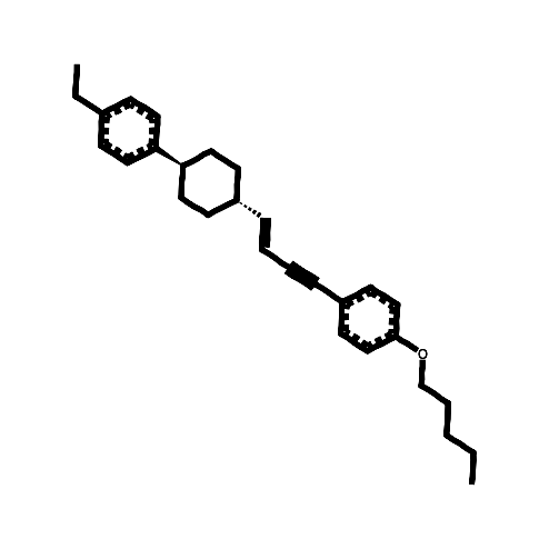 CCCCCOc1ccc(C#CC=C[C@H]2CC[C@H](c3ccc(CC)cc3)CC2)cc1